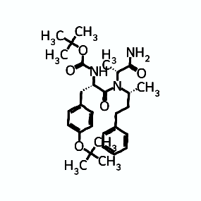 C[C@H](CCc1ccccc1)N(C(=O)[C@H](Cc1ccc(OC(C)(C)C)cc1)NC(=O)OC(C)(C)C)[C@H](C)C(N)=O